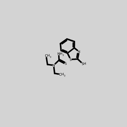 CCN(CC)C(N)=S.Sc1nc2ccccc2s1